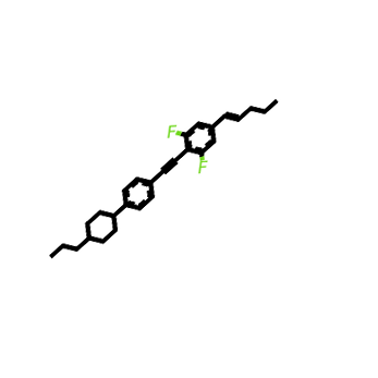 CCCC=Cc1cc(F)c(C#Cc2ccc(C3CCC(CCC)CC3)cc2)c(F)c1